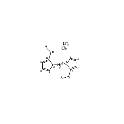 CCC1=CC=C[CH]1[Hf+2][CH]1C=CC=C1CC.[Cl-].[Cl-]